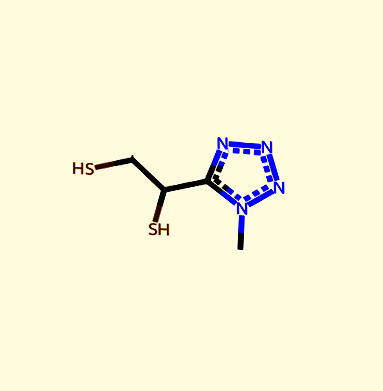 Cn1nnnc1C(S)[CH]S